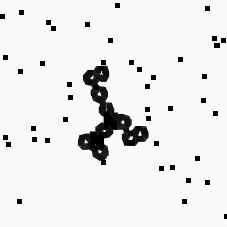 c1cc(-c2cccc3ccccc23)cc(N(c2ccc(-c3ccc(-c4cccc5ccccc45)cc3)cc2)c2ccc(-n3c4ccccc4c4ccccc43)cc2)c1